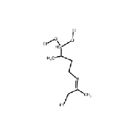 CCO[SiH](OCC)C(C)CCN=C(C)CC(C)C